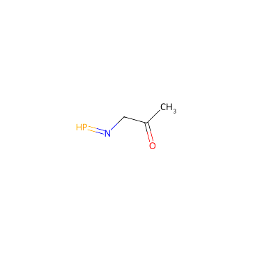 CC(=O)CN=P